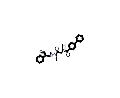 O=C(CNC(=O)c1ccc(-c2ccccc2)cc1)N/N=C/c1csc2ccccc12